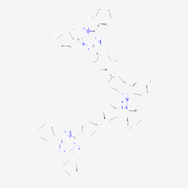 c1ccc(-c2nc(-c3ccccc3)nc(-c3ccc(-c4ccc5c(c4)c4ccccc4n5-n4c5ccccc5c5cc(-c6ccc(-c7nc(-c8ccccc8)nc(-c8ccccc8)n7)cc6)ccc54)cc3)n2)cc1